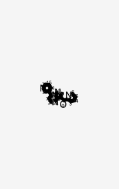 O=C(c1ccccn1)c1cnn2c(-c3cccnc3)ccnc12